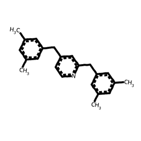 Cc1cc(C)cc(Cc2ccnc(Cc3cc(C)cc(C)c3)c2)c1